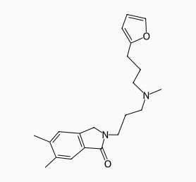 Cc1cc2c(cc1C)C(=O)N(CCCN(C)CCCc1ccco1)C2